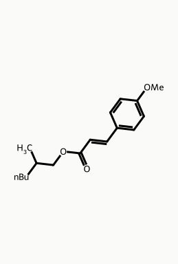 CCCCC(C)COC(=O)/C=C/c1ccc(OC)cc1